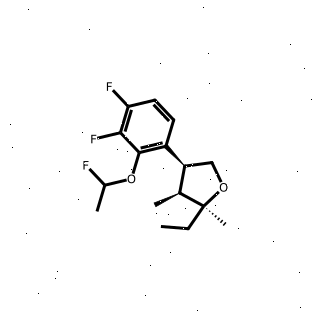 CC[C@]1(C)OC[C@H](c2ccc(F)c(F)c2OC(C)F)[C@@H]1C